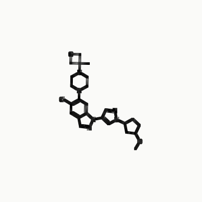 COC1CCC(n2cc(-n3ncc4cc(Cl)c(N5CCN(C6(C)COC6)CC5)cc43)cn2)C1